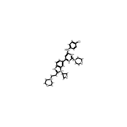 Clc1ccc(Nc2cc(-c3ccc4nc(CCN5CCOCC5)n(C5COC5)c4c3)nc(N3CCOCC3)n2)cc1